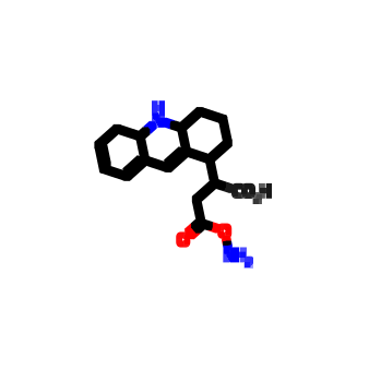 NOC(=O)CC(C(=O)O)C1CCCC2NC3CC=CC=C3C=C21